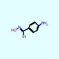 CC/C(=N\O)c1ccc(N)cc1